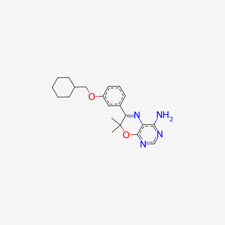 CC1(C)Oc2ncnc(N)c2N=C1c1cccc(OCC2CCCCC2)c1